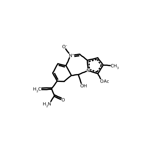 C=C(C(N)=O)C1=CC=C2C(C1)C(O)n1c(cc(C)c1OC(C)=O)C=[N+]2[O-]